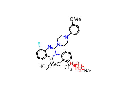 COc1cccc(N2CCN(C3=Nc4c(F)cccc4[C@H](CC(=O)O)N3c3cccc(C(F)(F)F)c3OC)CC2)c1.O.O.O.[Na]